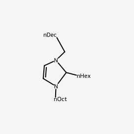 CCCCCCCCCCCN1C=CN(CCCCCCCC)C1CCCCCC